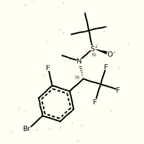 CN([C@@H](c1ccc(Br)cc1F)C(F)(F)F)[S@+]([O-])C(C)(C)C